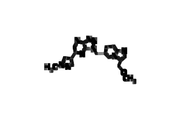 COCc1cnc2ccc(Cn3nnc4ncc(-c5cnn(C)c5)nc43)cn12